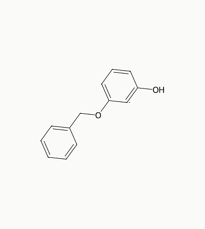 Oc1[c]c(OCc2ccccc2)ccc1